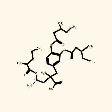 CCCC(C)C(=O)O[C@@H](C)CC(N)(Cc1ccc(OC(=O)CC(C)CC)c(OC(=O)CC(C)CC)c1)C(=O)O